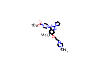 COc1cc2c(N3CCN(C(=O)OC(C)(C)C)CC3)nc(N3CCCC3)nc2cc1OCCCN1CCN(C)CC1